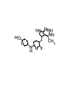 CC1=c2c(Cc3ccc(Nc4ccc(O)nc4)nc3F)c[nH]c2=NNN1